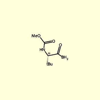 BC(=O)[C@@H](NC(=O)OC)C(C)(C)C